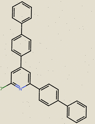 Clc1cc(-c2ccc(-c3ccccc3)cc2)cc(-c2ccc(-c3ccccc3)cc2)n1